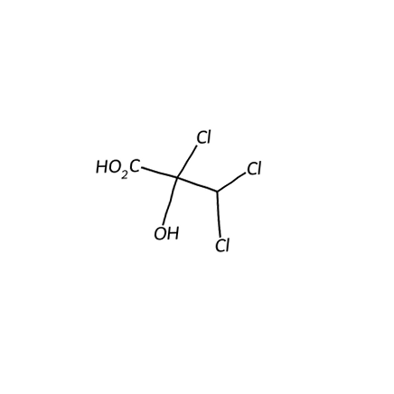 O=C(O)C(O)(Cl)C(Cl)Cl